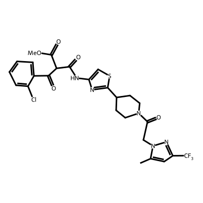 COC(=O)C(C(=O)Nc1csc(C2CCN(C(=O)Cn3nc(C(F)(F)F)cc3C)CC2)n1)C(=O)c1ccccc1Cl